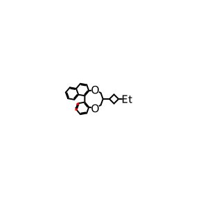 CCC1CC(C2COc3ccc4ccccc4c3-c3c(ccc4ccccc34)OC2)C1